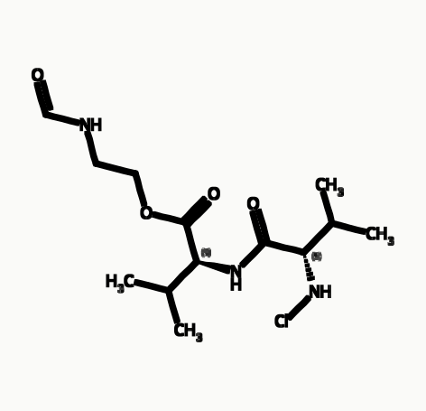 CC(C)[C@H](NCl)C(=O)N[C@H](C(=O)OCCNC=O)C(C)C